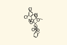 CCOC(=O)c1c(-c2c(Cl)cc(Cl)cc2Cl)noc1C1(C)CN(S(=O)(=O)c2ccccc2C)C1